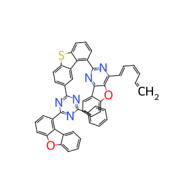 C=C/C=C\C=C\c1nc(-c2cccc3sc4ccc(-c5nc(-c6ccccc6)nc(-c6cccc7oc8ccccc8c67)n5)cc4c23)nc2c1oc1ccccc12